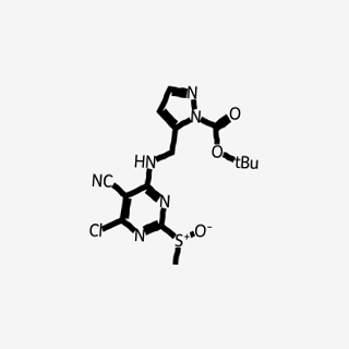 C[S+]([O-])c1nc(Cl)c(C#N)c(NCc2ccnn2C(=O)OC(C)(C)C)n1